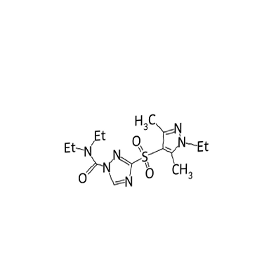 CCN(CC)C(=O)n1cnc(S(=O)(=O)c2c(C)nn(CC)c2C)n1